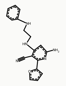 N#Cc1c(NCCNc2ccccc2)cc(N)nc1-c1ccco1